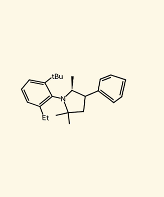 CCc1cccc(C(C)(C)C)c1N1[C@@H](C)C(c2ccccc2)CC1(C)C